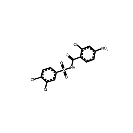 O=C(NS(=O)(=O)c1ccc(Cl)c(Cl)c1)c1ccc([N+](=O)[O-])cc1Cl